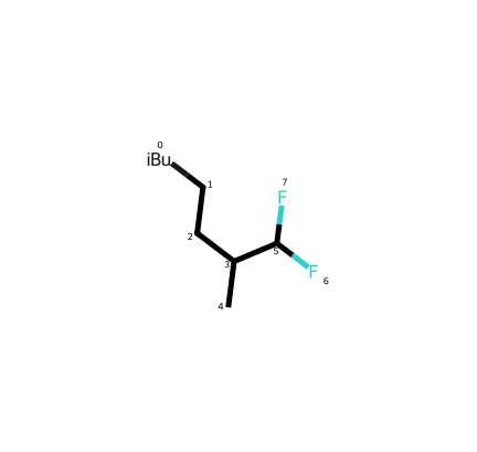 CCC(C)CCC(C)C(F)F